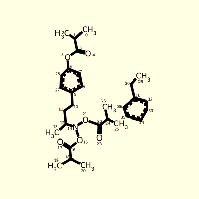 CC(C)C(=O)Oc1ccc(CCC(C)N(OC(=O)C(C)C)OC(=O)C(C)C)cc1.CCc1ccccc1